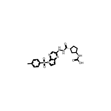 Cc1ccc(S(=O)(=O)n2ccc3nc(NNC(=O)[C@@H]4CCC(NC(=O)O)C4)cnc32)cc1